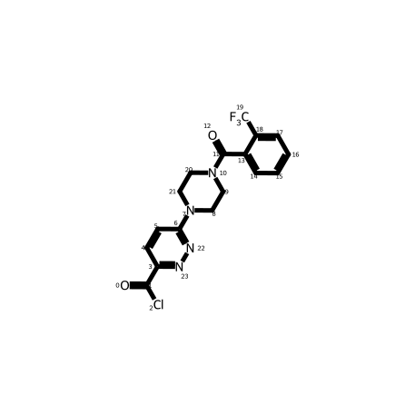 O=C(Cl)c1ccc(N2CCN(C(=O)c3ccccc3C(F)(F)F)CC2)nn1